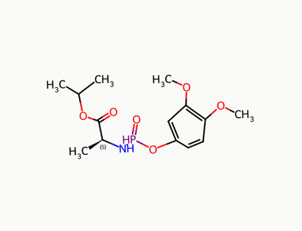 COc1ccc(O[PH](=O)N[C@@H](C)C(=O)OC(C)C)cc1OC